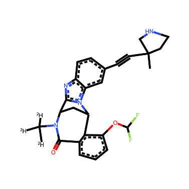 [2H]C([2H])([2H])N1C(=O)c2cccc(OC(F)F)c2C2CC1c1nc3ccc(C#CC4(C)CCNC4)cc3n12